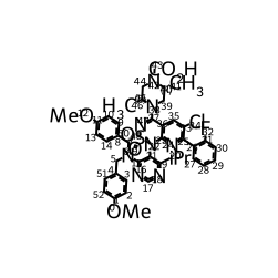 COc1ccc(CN(Cc2ccc(OC)cc2)c2ncnc(C(C)C)c2N2c3nc(-c4ccccc4F)c(Cl)cc3C(N3C[C@@H](C)N(C(=O)O)C[C@@H]3C)=NS2(=O)=O)cc1